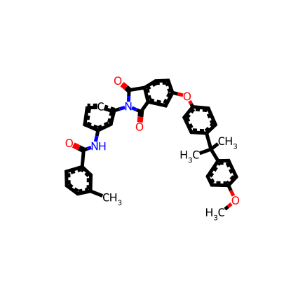 COc1ccc(C(C)(C)c2ccc(Oc3ccc4c(c3)C(=O)N(c3cccc(NC(=O)c5cccc(C)c5)c3)C4=O)cc2)cc1